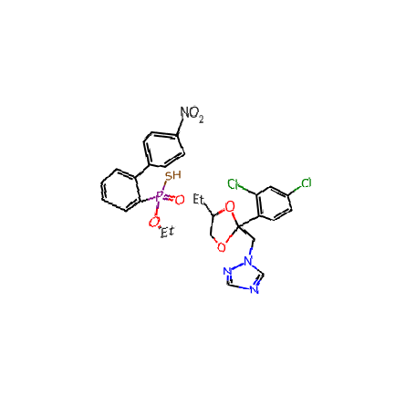 CCC1COC(Cn2cncn2)(c2ccc(Cl)cc2Cl)O1.CCOP(=O)(S)c1ccccc1-c1ccc([N+](=O)[O-])cc1